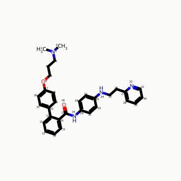 CN(C)CCCOc1ccc(-c2ccccc2C(=O)Nc2ccc(NCCc3ccccn3)cc2)cc1